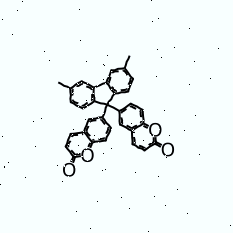 Cc1ccc2c(c1)-c1cc(C)ccc1C2(c1ccc2oc(=O)ccc2c1)c1ccc2oc(=O)ccc2c1